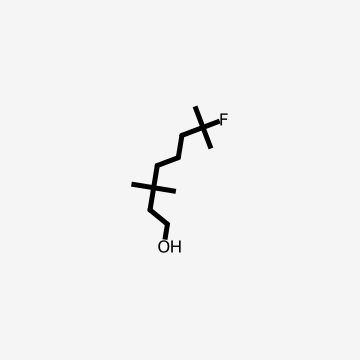 CC(C)(F)CCCC(C)(C)CCO